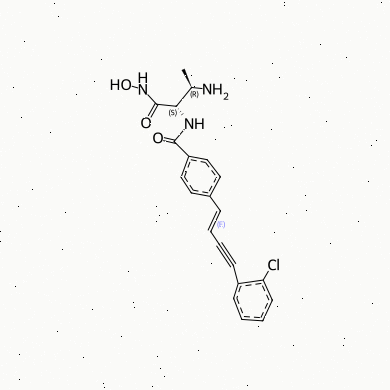 C[C@@H](N)[C@H](NC(=O)c1ccc(/C=C/C#Cc2ccccc2Cl)cc1)C(=O)NO